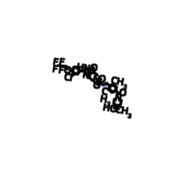 Cc1cc(C(=O)N2CCC(C)(O)CC2)cc(C)c1/C=C/S(=O)(=O)N1CCC2(CC1)N=C(c1ccc(OCC(F)(F)C(F)F)c(Cl)c1)NC2=O